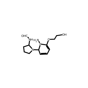 NN1C(OCCO)=CC=CC1N1CCCC1NC=O